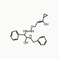 O/C(=C\CONNC(c1ccccc1)C(O)NCc1ccccc1)C1CC1